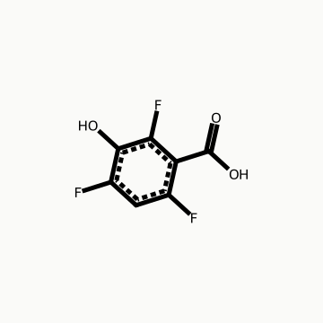 O=C(O)c1c(F)cc(F)c(O)c1F